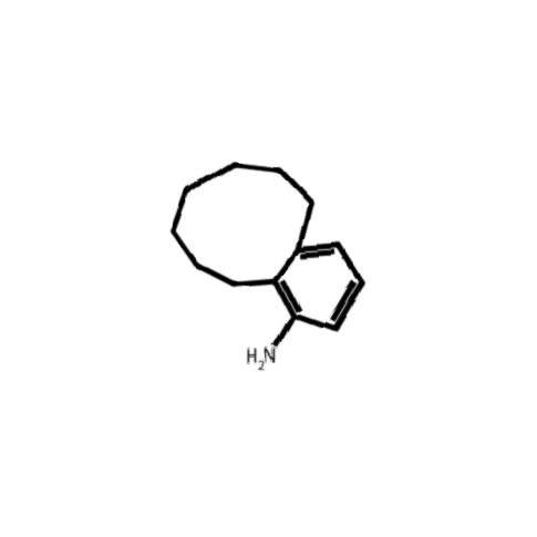 Nc1cccc2c1CCCCCCC2